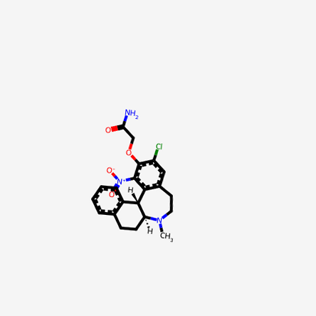 CN1CCc2cc(Cl)c(OCC(N)=O)c([N+](=O)[O-])c2[C@H]2c3ccccc3CC[C@@H]21